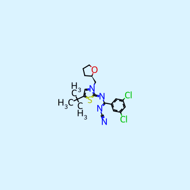 CC(C)(C)c1cn(C[C@H]2CCCO2)/c(=N/C(=N/C#N)c2cc(Cl)cc(Cl)c2)s1